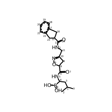 CC(C)CC(NC(=O)C1CC(CNC(=O)C2Cc3ccccc3C2)=NO1)B(O)O